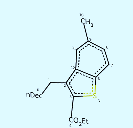 CCCCCCCCCCCc1c(C(=O)OCC)sc2ccc(C)cc12